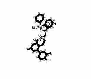 COP(=O)(/C=C\c1c(C)cc(C)cc1-c1ccc(F)c(C)c1)C[C@H](CC(=O)O)O[Si](c1ccccc1)(c1ccccc1)C(C)(C)C